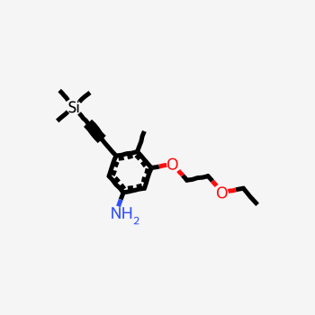 CCOCCOc1cc(N)cc(C#C[Si](C)(C)C)c1C